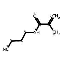 C=C(C)C(=O)NCCCC#N